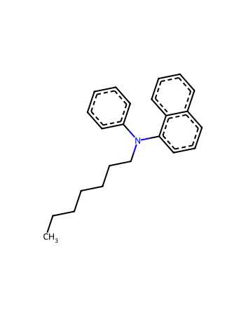 CCCCCCCN(c1ccccc1)c1cccc2ccccc12